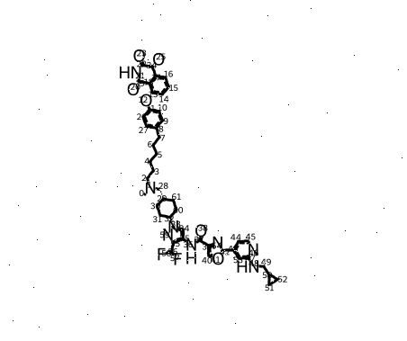 CN(CCCCCCc1ccc(Oc2cccc3c2C(=O)NC(=O)C3=O)cc1)C[C@H]1CC[C@H](n2cc(NC(=O)c3coc(-c4ccnc(NCC5CC5)c4)n3)c(C(F)F)n2)CC1